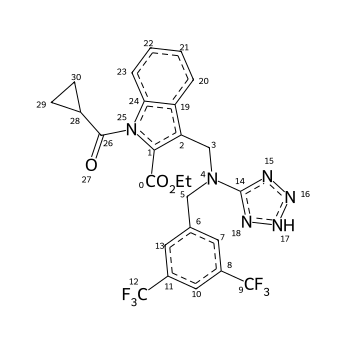 CCOC(=O)c1c(CN(Cc2cc(C(F)(F)F)cc(C(F)(F)F)c2)c2nn[nH]n2)c2ccccc2n1C(=O)C1CC1